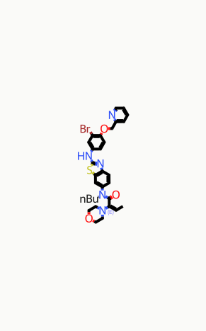 C/C=C(\C(=O)N(CCCC)c1ccc2nc(Nc3ccc(OCc4ccccn4)c(Br)c3)sc2c1)N1CCOCC1